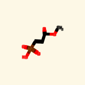 COC(=O)C=CS(=O)(=O)O